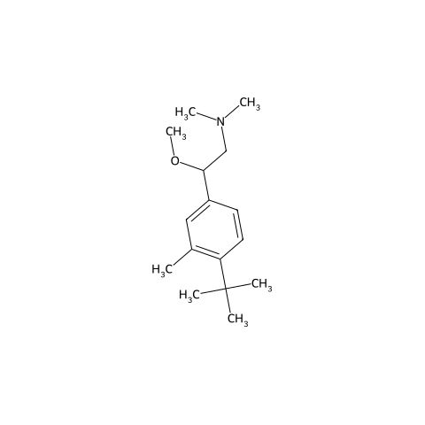 COC(CN(C)C)c1ccc(C(C)(C)C)c(C)c1